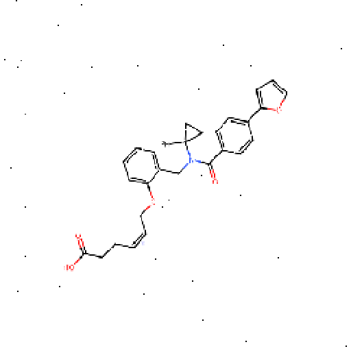 [2H]C1(N(Cc2ccccc2OC/C=C\CCC(=O)O)C(=O)c2ccc(-c3ccco3)cc2)CC1